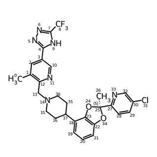 Cc1cc(-c2nnc(C(F)(F)F)[nH]2)cnc1CN1CCC(c2cccc3c2O[C@@](C)(c2ccc(Cl)cn2)O3)CC1